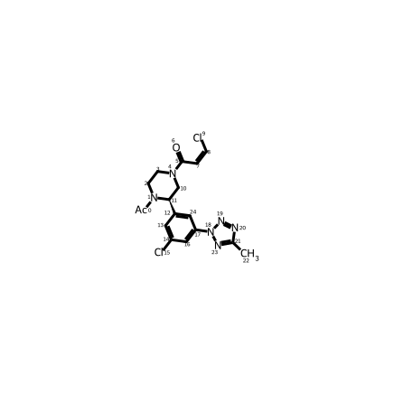 CC(=O)N1CCN(C(=O)/C=C\Cl)C[C@H]1c1cc(Cl)cc(-n2nnc(C)n2)c1